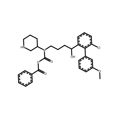 COc1cccc(-c2c(Cl)cccc2C(O)CCCN(C(=O)OC(=O)c2ccccc2)C2CCCNC2)c1